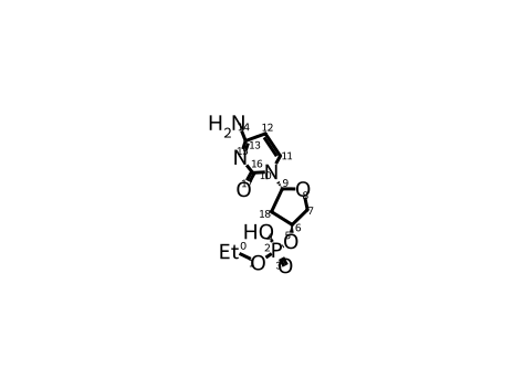 CCOP(=O)(O)O[C@@H]1CO[C@@H](n2ccc(N)nc2=O)C1